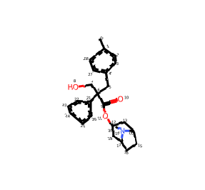 Cc1ccc(CC(CO)(C(=O)OC2CC3CCC(C2)N3C)c2ccccc2)cc1